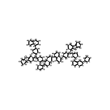 c1ccc(-c2ccc3cccc(-c4cccc(N(c5ccc(-c6cccc7c(-c8ccc9c(-c%10ccc(N(c%11ccc(-c%12cccc%13ccccc%12%13)cc%11)c%11ccc%12c(c%11)oc%11ccccc%11%12)cc%10)c(-c%10ccccc%10)ccc9c8)cccc67)cc5)c5cccc6c5sc5ccccc56)c4)c3c2)cc1